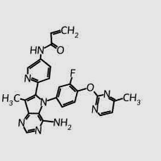 C=CC(=O)Nc1ccc(-c2c(C)c3ncnc(N)c3n2-c2ccc(Oc3nccc(C)n3)c(F)c2)nc1